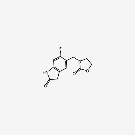 O=C1Cc2cc(CN3CCOC3=O)c(F)cc2N1